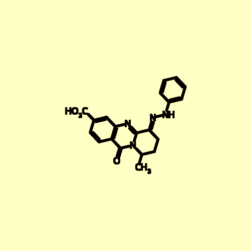 CC1CCC(=NNc2ccccc2)c2nc3cc(C(=O)O)ccc3c(=O)n21